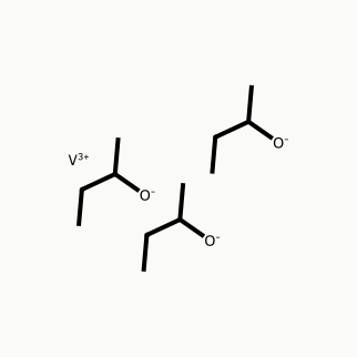 CCC(C)[O-].CCC(C)[O-].CCC(C)[O-].[V+3]